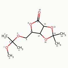 COC(C)(C)OCC1OC(=O)C2OC(C)(C)OC12